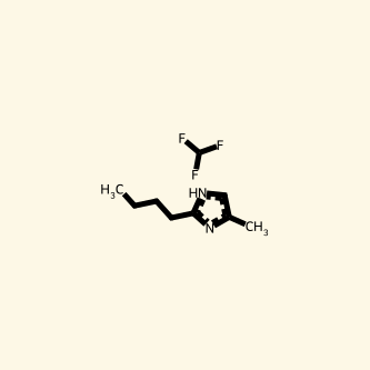 CCCCc1nc(C)c[nH]1.FC(F)F